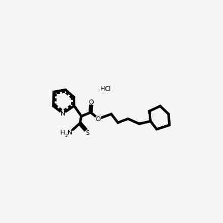 Cl.NC(=S)C(C(=O)OCCCCC1CCCCC1)c1ccccn1